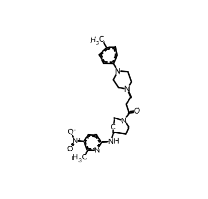 Cc1ccc(N2CCN(CCC(=O)N3CCC(Nc4ccc([N+](=O)[O-])c(C)n4)CC3)CC2)cc1